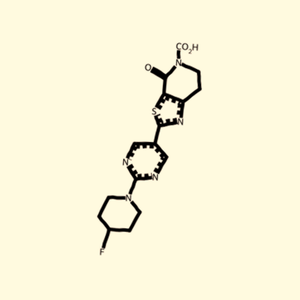 O=C(O)N1CCc2nc(-c3cnc(N4CCC(F)CC4)nc3)sc2C1=O